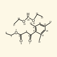 CCOC(=O)CC(=O)c1c(C)cc(C)cc1C.CCOPOCC